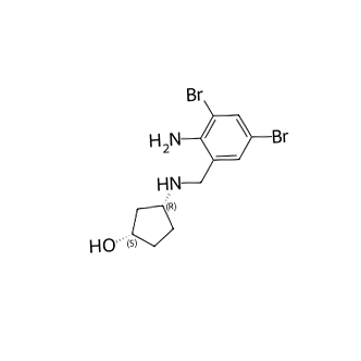 Nc1c(Br)cc(Br)cc1CN[C@@H]1CC[C@H](O)C1